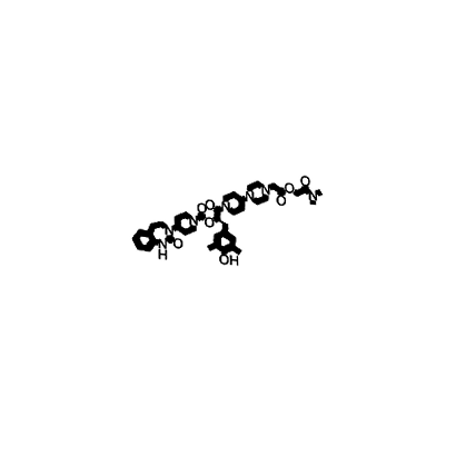 Cc1cc(C[C@@H](OC(=O)N2CCC(N3CCc4ccccc4NC3=O)CC2)C(=O)N2CCC(N3CCN(CC(=O)OCC(=O)N(C)C)CC3)CC2)cc(C)c1O